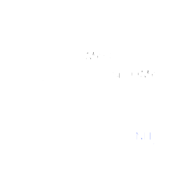 CO[SiH](OC)C(CCN)c1ccccc1